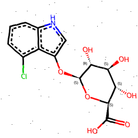 O=C(O)[C@H]1O[C@@H](Oc2c[nH]c3cccc(Cl)c23)[C@H](O)[C@@H](O)[C@@H]1O